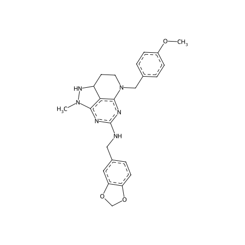 COc1ccc(CN2CCC3NN(C)c4nc(NCc5ccc6c(c5)OCO6)nc2c43)cc1